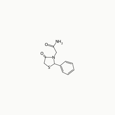 NC(=O)CN1C(=O)CSC1c1ccccc1